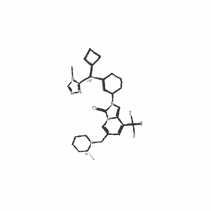 C[C@@H]1CCCCN1Cc1cc(C(F)(F)F)c2cn(C3CCCC([C@@H](c4nncn4C)C4CCC4)C3)c(=O)n2c1